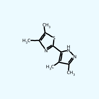 Cc1nc(-c2[nH]nc(C)c2C)sc1C